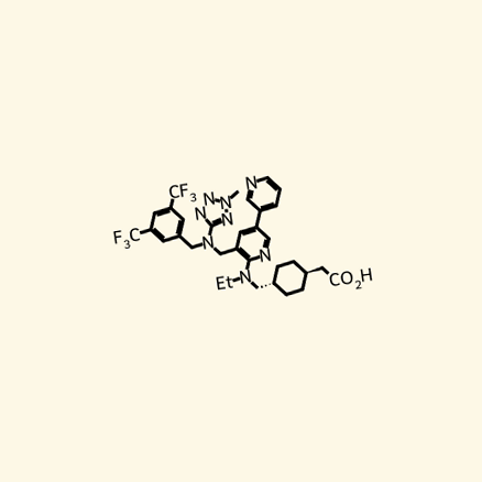 CCN(C[C@H]1CC[C@H](CC(=O)O)CC1)c1ncc(-c2cccnc2)cc1CN(Cc1cc(C(F)(F)F)cc(C(F)(F)F)c1)c1nnn(C)n1